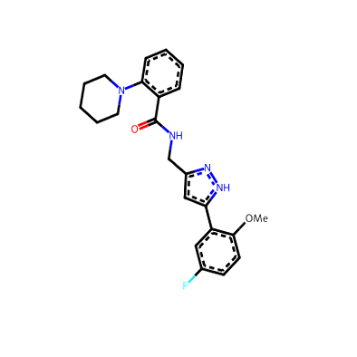 COc1ccc(F)cc1-c1cc(CNC(=O)c2ccccc2N2CCCCC2)n[nH]1